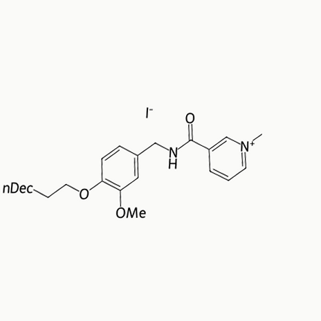 CCCCCCCCCCCCOc1ccc(CNC(=O)c2ccc[n+](C)c2)cc1OC.[I-]